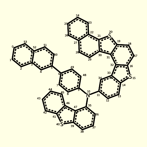 c1ccc2cc(-c3ccc(N(c4ccc5sc6ccc7sc8c9ccccc9ccc8c7c6c5c4)c4cccc5sc6ccccc6c45)cc3)ccc2c1